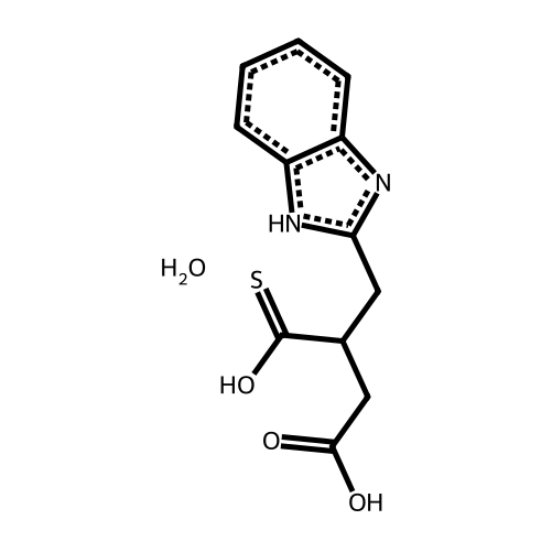 O.O=C(O)CC(Cc1nc2ccccc2[nH]1)C(O)=S